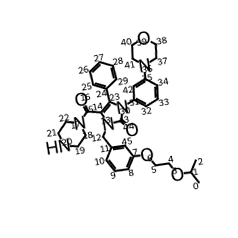 CC(C)OCCOc1cccc(Cn2c(C(=O)N3CCNCC3)c(-c3ccccc3)n(-c3cccc(N4CCOCC4)c3)c2=O)c1